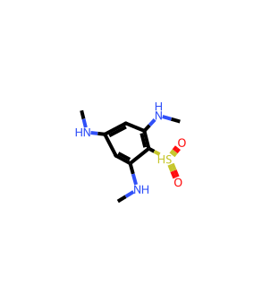 CNc1cc(NC)c([SH](=O)=O)c(NC)c1